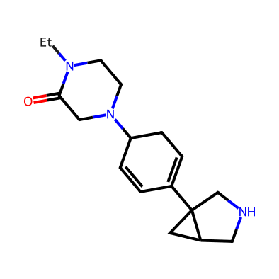 CCN1CCN(C2C=CC(C34CNCC3C4)=CC2)CC1=O